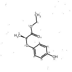 CCOC(=O)[C@H](C)Oc1ccc(O)cc1